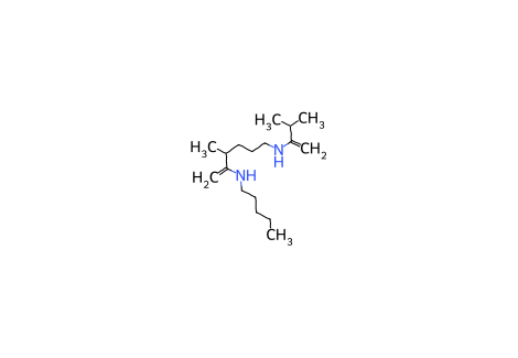 C=C(NCCCC(C)C(=C)NCCCCC)C(C)C